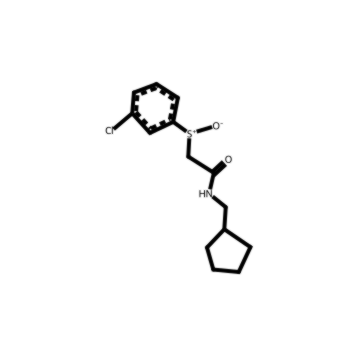 O=C(C[S+]([O-])c1cccc(Cl)c1)NCC1CCCC1